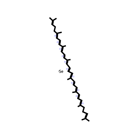 CC(C)=CCC/C(C)=C/C=C/C(C)=C/C=C/C(C)=C/C=C/C=C(C)/C=C/C=C(C)/C=C/C=C(\C)CCC=C(C)C.[Se]